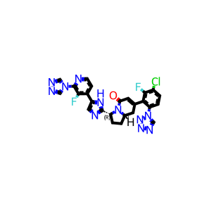 O=C1C=C(c2c(-n3cnnn3)ccc(Cl)c2F)C[C@H]2CC[C@H](c3ncc(-c4ccnc(-n5cnnc5)c4F)[nH]3)N12